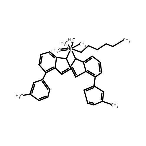 CCCCC[CH2][Hf]([CH3])([CH3])([CH3])(=[SiH2])([CH]1C=Cc2c(-c3cccc(C)c3)cccc21)[CH]1C=Cc2c(-c3cccc(C)c3)cccc21